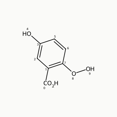 O=C(O)c1cc(O)ccc1OO